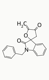 C=C1OC2(CC1=O)C(=O)N(Cc1ccccc1)c1ccccc12